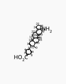 CC1C(c2ccc(C(=O)O)cc2)=CCC2(C)C1CCC1(C)C2CCC2C3CCCC3(N)CC[C@]21C